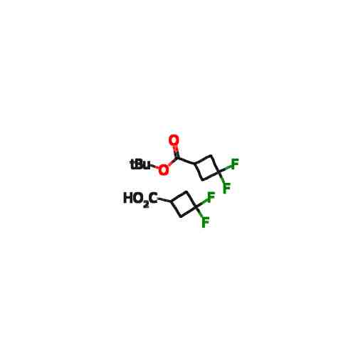 CC(C)(C)OC(=O)C1CC(F)(F)C1.O=C(O)C1CC(F)(F)C1